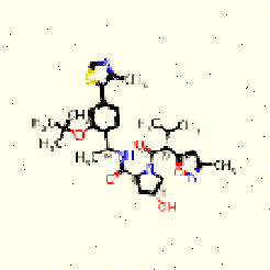 Cc1cc([C@H](C(=O)N2C[C@H](O)C[C@H]2C(=O)N[C@@H](C)c2ccc(-c3scnc3C)cc2OC(C)(C)C)C(C)C)on1